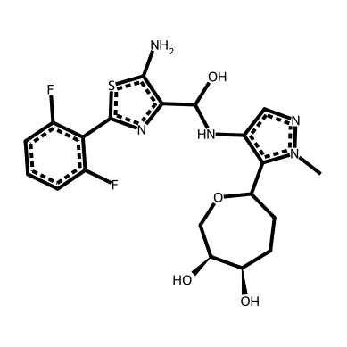 Cn1ncc(NC(O)c2nc(-c3c(F)cccc3F)sc2N)c1C1CC[C@@H](O)[C@@H](O)CO1